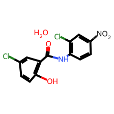 O.O=C(Nc1ccc([N+](=O)[O-])cc1Cl)c1cc(Cl)ccc1O